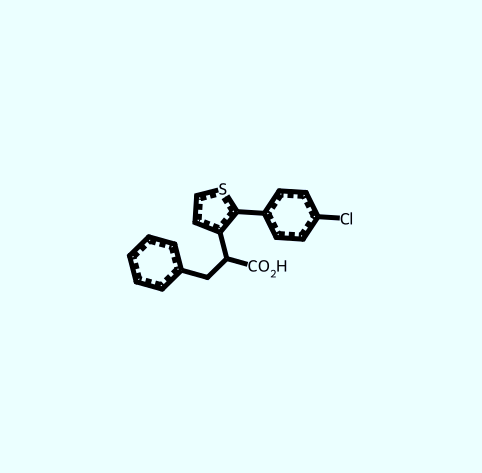 O=C(O)C(Cc1ccccc1)c1ccsc1-c1ccc(Cl)cc1